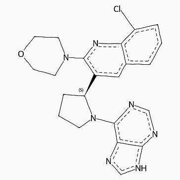 Clc1cccc2cc([C@@H]3CCCN3c3ncnc4[nH]cnc34)c(N3CCOCC3)nc12